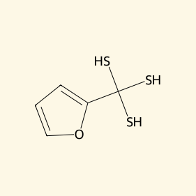 SC(S)(S)c1ccco1